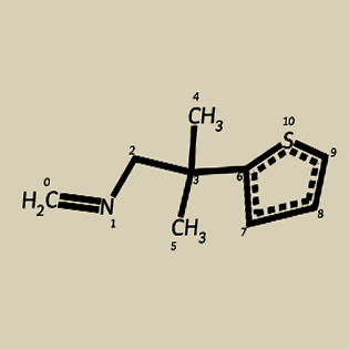 C=NCC(C)(C)c1cccs1